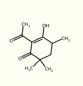 CC(=O)C1=C(O)C(C)CC(C)(C)C1=O